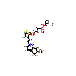 CCOC(=O)CCCOc1sccc1C=Cc1ccc2ccc(Br)cc2n1